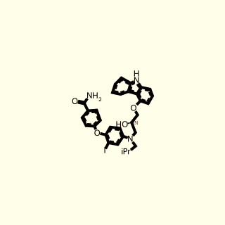 CC(C)CN(C[C@H](O)COc1cccc2[nH]c3ccccc3c12)c1ccc(Oc2ccc(C(N)=O)cc2)c(I)c1